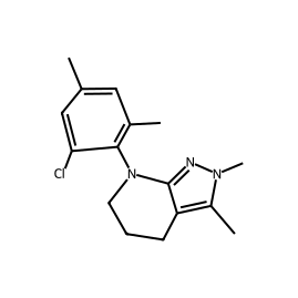 Cc1cc(C)c(N2CCCc3c2nn(C)c3C)c(Cl)c1